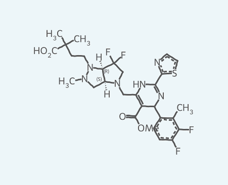 COC(=O)C1=C(CN2CC(F)(F)[C@H]3[C@@H]2CN(C)N3CCC(C)(C)C(=O)O)NC(c2nccs2)=NC1c1ccc(F)c(F)c1C